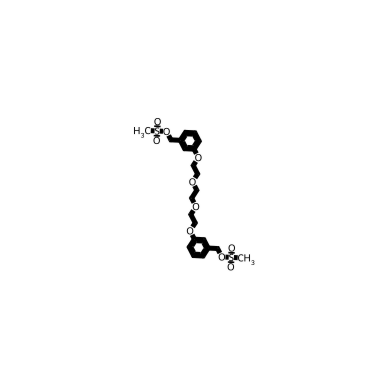 CS(=O)(=O)OCc1cccc(OCCOCCOCCOc2cccc(COS(C)(=O)=O)c2)c1